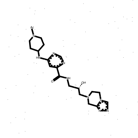 CC(=O)N1CCC(Nc2cc(C(=O)NC[C@H](O)CN3CCn4cnnc4C3)ncn2)CC1